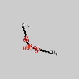 CCCCCCCCOC(=O)OCCOP(=O)(O)OCCOC(=O)OCCCCCCCC